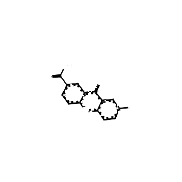 Cc1ccc2oc3ccc(C(=O)O)cc3c(=O)c2c1